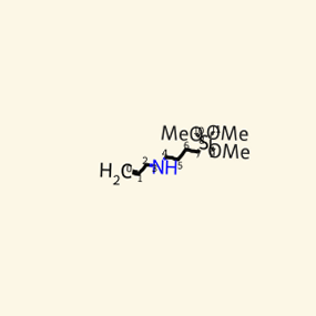 C=CCNCCCC[Si](OC)(OC)OC